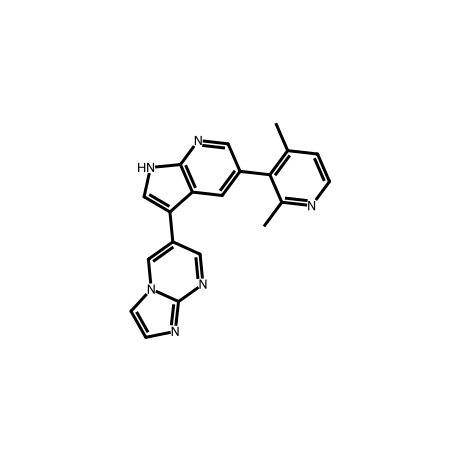 Cc1ccnc(C)c1-c1cnc2[nH]cc(-c3cnc4nccn4c3)c2c1